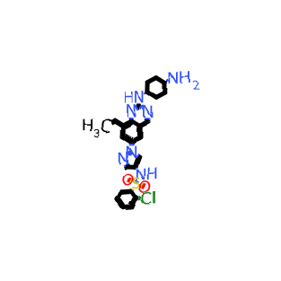 CCc1cc(-n2cc(NS(=O)(=O)c3ccccc3Cl)cn2)cc2cnc(N[C@H]3CC[C@H](N)CC3)nc12